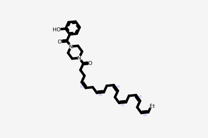 CC/C=C\C/C=C\C/C=C\C/C=C\C/C=C\C/C=C\CCC(=O)N1CCN(C(=O)c2ccccc2O)CC1